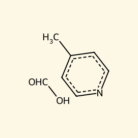 Cc1ccncc1.O=CO